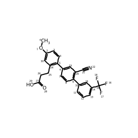 COc1ccc(-c2ccc(-c3cccc(C(F)(F)F)c3)c(C#N)c2)c(CCC(=O)O)c1